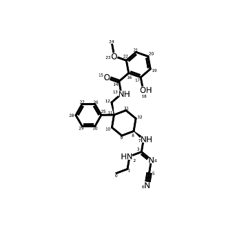 CCN/C(=N\C#N)N[C@H]1CC[C@](CNC(=O)c2c(O)cccc2OC)(c2ccccc2)CC1